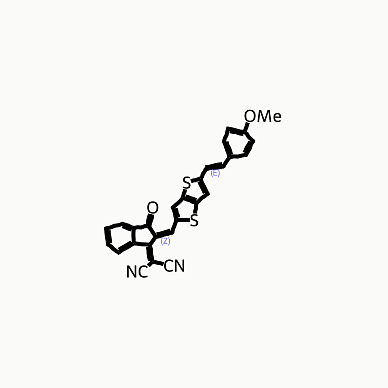 COc1ccc(/C=C/c2cc3sc(/C=C4\C(=O)c5ccccc5C4=C(C#N)C#N)cc3s2)cc1